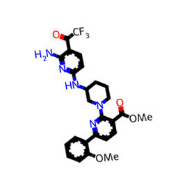 COC(=O)c1ccc(-c2ccccc2OC)nc1N1CCCC(Nc2ccc(C(=O)C(F)(F)F)c(N)n2)C1